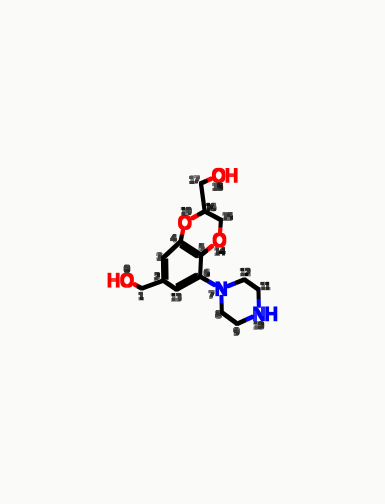 OCc1cc2c(c(N3CCNCC3)c1)OCC(CO)O2